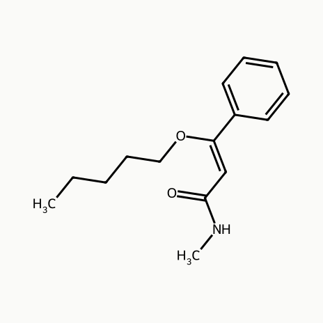 CCCCCO/C(=C\C(=O)NC)c1ccccc1